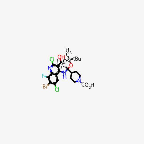 CC(Nc1c(CO)c(Cl)nc2c(F)c(Br)c(Cl)cc12)(O[Si](C)(C)C(C)(C)C)C1CCN(C(=O)O)CC1